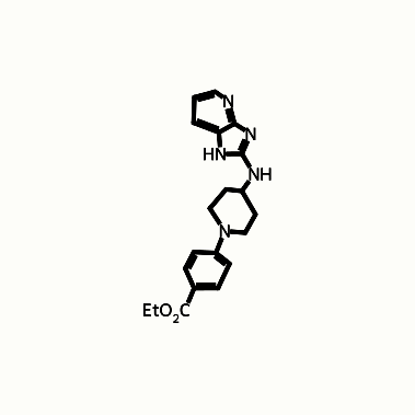 CCOC(=O)c1ccc(N2CCC(Nc3nc4ncccc4[nH]3)CC2)cc1